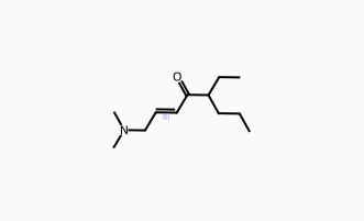 CCCC(CC)C(=O)/C=C/CN(C)C